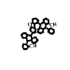 N#Cc1ccccc1-c1c2ccccc2c(-c2ccc3c(c2)oc2cccc(-c4c5ccccc5c(-c5ccccc5C#N)c5ccccc45)c23)c2ccccc12